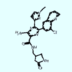 Cn1ccc(-c2nc(N)c(C(=O)NCC3CNC(=O)C3)nc2-c2cc(Cl)c3ncccc3c2)n1